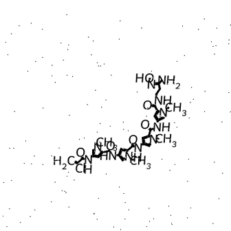 C=C(Cl)C(=O)Nc1cc(C(=O)Nc2cc(C(=O)Nc3cc(C(=O)Nc4cc(C(=O)NCCC(N)=NO)n(C)c4)n(C)c3)n(C)c2)n(C)c1